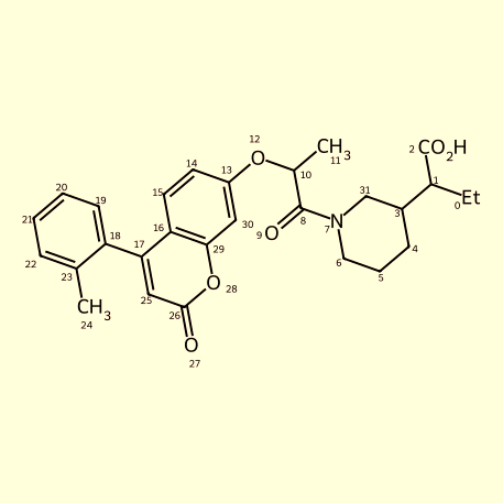 CCC(C(=O)O)C1CCCN(C(=O)C(C)Oc2ccc3c(-c4ccccc4C)cc(=O)oc3c2)C1